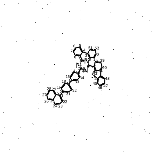 c1ccc(-c2ccccc2-c2nc(-c3ccc(-c4ccc(-c5cccc6ccccc56)cc4)cc3)nc(-c3cccc4c3sc3ccccc34)n2)cc1